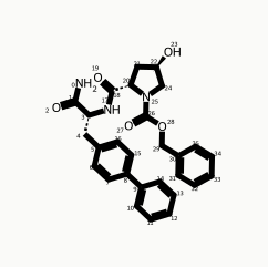 NC(=O)[C@@H](Cc1ccc(-c2ccccc2)cc1)NC(=O)[C@@H]1C[C@@H](O)CN1C(=O)OCc1ccccc1